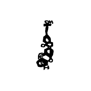 CN1[C@@H]2CC[C@H]1C[C@@H](Oc1ccc(N3CCc4cc(C#CC(C)(C)O)ccc4C3=O)cc1Cl)C2